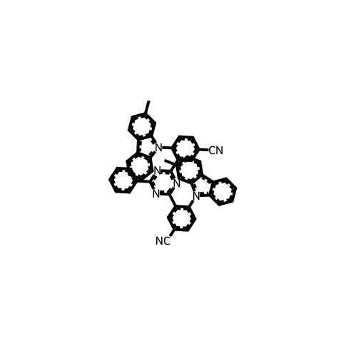 Cc1ccc2c3ccccc3n(-c3ccc(C#N)cc3-c3nc(-c4ccccc4)nc(-c4cc(C#N)ccc4-n4c5ccccc5c5ccc(C)cc54)n3)c2c1